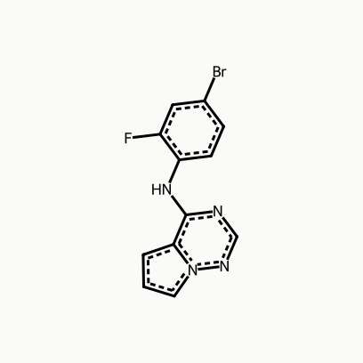 Fc1cc(Br)ccc1Nc1ncnn2cccc12